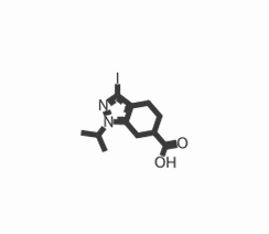 CC(C)n1nc(I)c2c1CC(C(=O)O)CC2